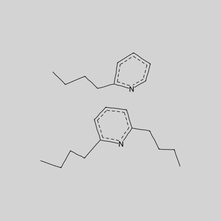 CCCCc1cccc(CCCC)n1.CCCCc1ccccn1